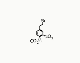 O=C(O)c1ccc(CCBr)cc1[N+](=O)[O-]